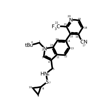 CC(C)(C)Cn1cc(CNSC2CC2)c2ccc(-c3c(C#N)ccnc3C(F)(F)F)cc21